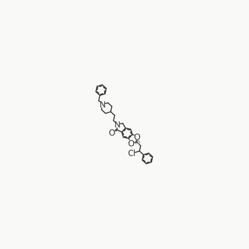 O=C1c2cc3c(cc2CN1CCC1CCN(Cc2ccccc2)CC1)O[C@@H](CC(Cl)c1ccccc1)O3